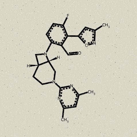 Cc1cc(-c2c(F)ccc(N3C[C@H]4CCN(c5nc(C)cc(C)n5)C[C@H]43)c2C=O)on1